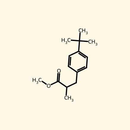 COC(=O)C(C)Cc1ccc(C(C)(C)C)cc1